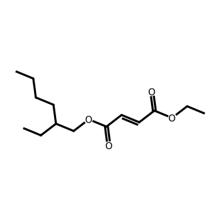 CCCCC(CC)COC(=O)/C=C/C(=O)OCC